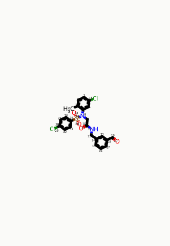 Cc1ccc(Cl)cc1N(CC(=O)NCc1cccc(C=O)c1)S(=O)(=O)c1ccc(Cl)cc1